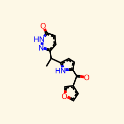 CC(c1ccc(=O)[nH]n1)c1ccc(C(=O)c2ccoc2)[nH]1